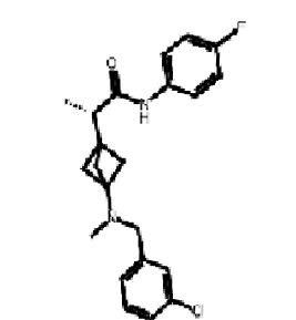 C[C@H](C(=O)Nc1ccc(F)cc1)C12CC(N(C)Cc3cccc(Cl)c3)(C1)C2